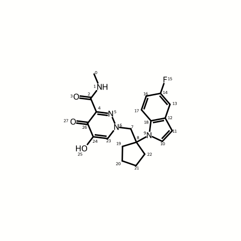 CNC(=O)c1nn(CC2(n3ccc4cc(F)ccc43)CCCC2)cc(O)c1=O